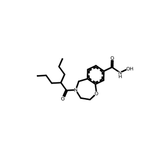 CCCC(CCC)C(=O)N1CCOc2cc(C(=O)NO)ccc2C1